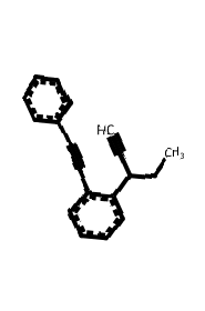 C#CC(CC)c1ccccc1C#Cc1ccccc1